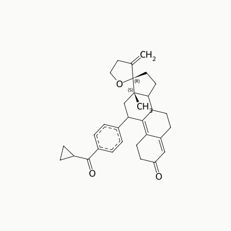 C=C1CCO[C@]12CCC1C3CCC4=CC(=O)CCC4=C3C(c3ccc(C(=O)C4CC4)cc3)C[C@@]12C